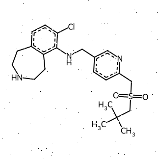 CC(C)(C)CS(=O)(=O)Cc1ccc(CNc2c(Cl)ccc3c2CCNCC3)cn1